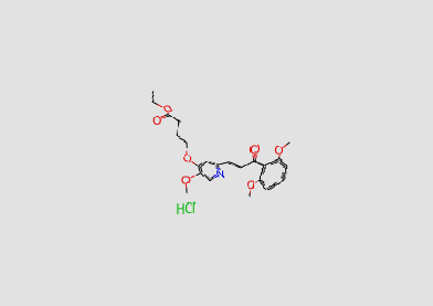 CCOC(=O)CCCOc1cc(C=CC(=O)c2c(OC)cccc2OC)ncc1OC.Cl